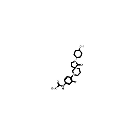 CC(C)COC(=O)Nc1ccc(N2CCC[C@]3(CCN([C@H]4CC[C@H](O)CC4)C3=O)C2)c(F)c1